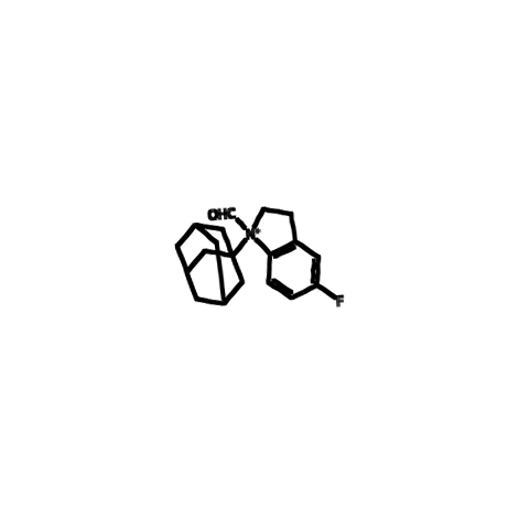 O=C[N+]1(C23CC4CC(CC(C4)C2)C3)CCc2cc(F)ccc21